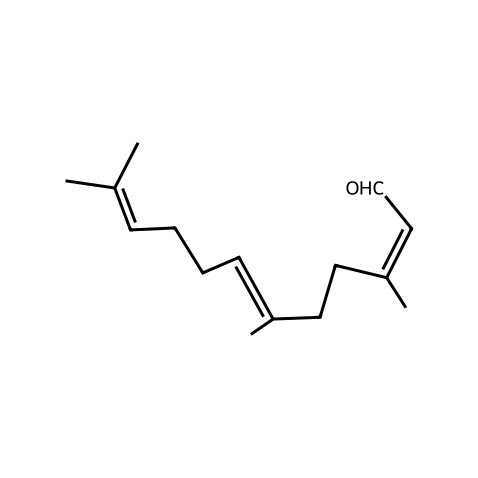 CC(C)=CCCC=C(C)CCC(C)=CC=O